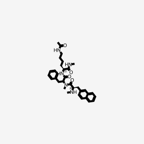 CNC(=O)[C@H](CCCCNC(C)=O)NC(=O)C(Cc1ccccc1)N(C)C(=O)[C@@H](Cc1ccc2ccccc2c1)NC